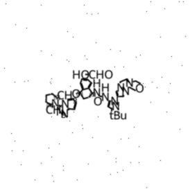 C[C@@H]1CCC[C@H](C)N1c1nnc2ccc(O[C@@H]3CC[C@H](NC(=O)Nc4cc(C(C)(C)C)nn4-c4cnn(CCN5CCOCC5)c4)c4ccccc43)cn12.O=CO